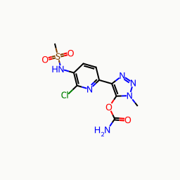 Cn1nnc(-c2ccc(NS(C)(=O)=O)c(Cl)n2)c1OC(N)=O